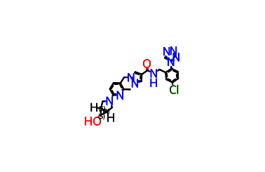 Cc1nc(N2C[C@@H]3[C@@H](O)[C@@H]3C2)ccc1Cn1cc(C(=O)NCc2cc(Cl)ccc2-n2cnnn2)cn1